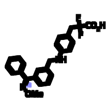 CO/N=C(/c1ccccc1)c1cccc(CNc2ccc(CC(F)(F)C(=O)O)cc2)c1